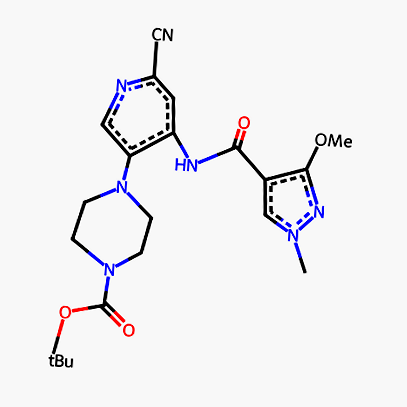 COc1nn(C)cc1C(=O)Nc1cc(C#N)ncc1N1CCN(C(=O)OC(C)(C)C)CC1